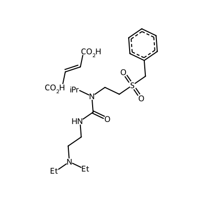 CCN(CC)CCNC(=O)N(CCS(=O)(=O)Cc1ccccc1)C(C)C.O=C(O)C=CC(=O)O